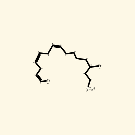 CC/C=C\C/C=C\C/C=C\CCCCC(CC)CCC(=O)O